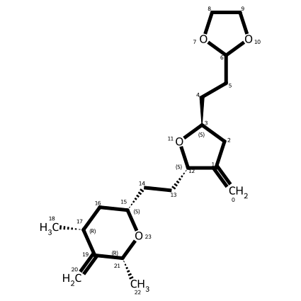 C=C1C[C@H](CCC2OCCO2)O[C@H]1CC[C@H]1C[C@@H](C)C(=C)[C@@H](C)O1